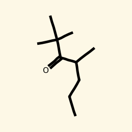 CCCC(C)C(=O)C(C)(C)C